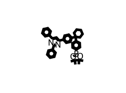 CC1(C)OB(c2ccc(C3(c4ccc(-c5cc(-c6ccccc6)nc(-c6ccccc6)n5)cc4)CCCCC3)cc2)OC1(C)C